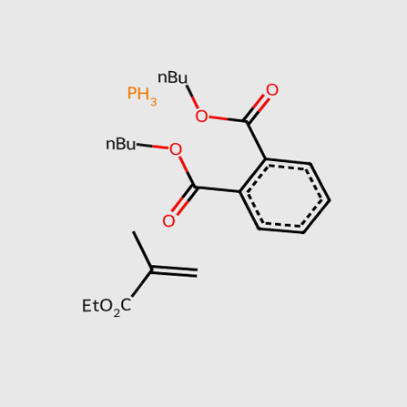 C=C(C)C(=O)OCC.CCCCOC(=O)c1ccccc1C(=O)OCCCC.P